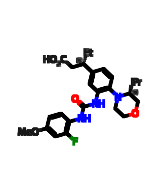 CC[C@@H](CC(=O)O)c1ccc(N2CCOC[C@@H]2C(C)C)c(NC(=O)Nc2ccc(OC)cc2F)c1